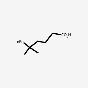 CCCCC(C)(C)CCCC(=O)O